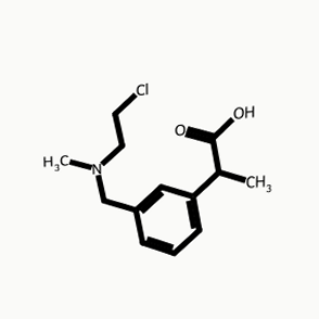 CC(C(=O)O)c1cccc(CN(C)CCCl)c1